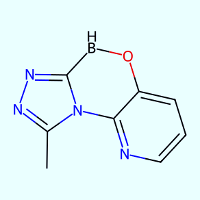 Cc1nnc2n1-c1ncccc1OB2